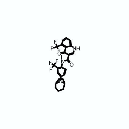 O=C(Nc1ccc(N2C3CCCC2CC3)cc1C(F)(F)F)c1c[nH]c2cccc(C(F)(F)F)c2c1=O